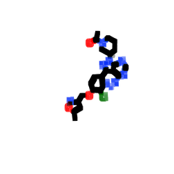 CC(=O)N1CCC[C@@H](n2nc(-c3ccc(OCc4cc(C)on4)c(Cl)c3)c3c(N)ncnc32)C1